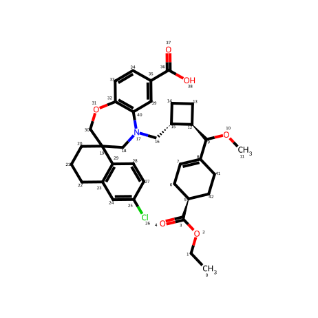 CCOC(=O)[C@H]1CC=C(C(OC)[C@@H]2CC[C@H]2CN2CC3(CCCc4cc(Cl)ccc43)COc3ccc(C(=O)O)cc32)CC1